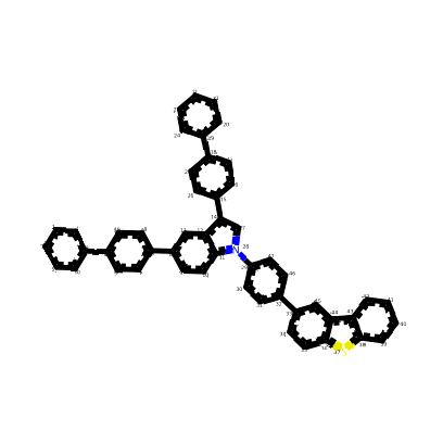 c1ccc(-c2ccc(-c3ccc4c(c3)c(-c3ccc(-c5ccccc5)cc3)cn4-c3ccc(-c4ccc5sc6ccccc6c5c4)cc3)cc2)cc1